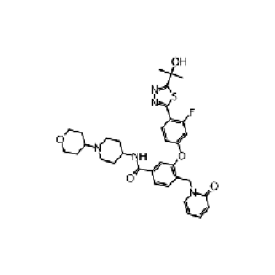 CC(C)(O)c1nnc(-c2ccc(Oc3cc(C(=O)NC4CCN(C5CCOCC5)CC4)ccc3Cn3ccccc3=O)cc2F)s1